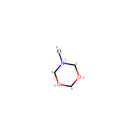 CCN1COCOC1